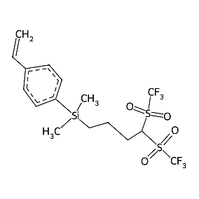 C=Cc1ccc([Si](C)(C)CCCC(S(=O)(=O)C(F)(F)F)S(=O)(=O)C(F)(F)F)cc1